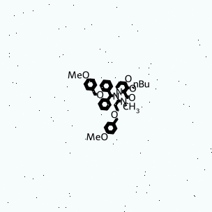 CCCCOc1c2n(ccc1=O)N(C(c1ccccc1)c1ccccc1OCc1ccc(OC)cc1)C(CCOCc1ccc(OC)cc1)N(C)C2=O